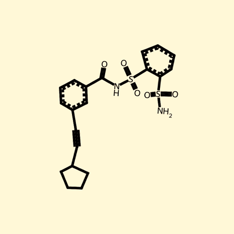 NS(=O)(=O)c1ccccc1S(=O)(=O)NC(=O)c1cccc(C#CC2CCCC2)c1